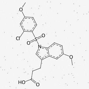 COc1ccc(S(=O)(=O)n2cc(CCC(=O)O)c3cc(OC)ccc32)c(Cl)c1